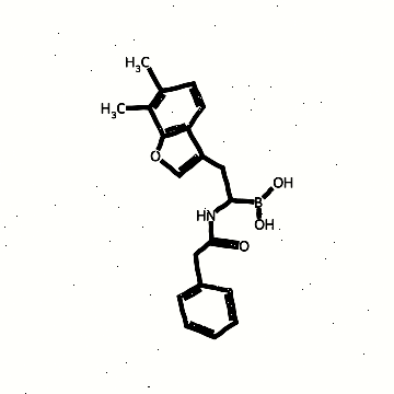 Cc1ccc2c(CC(NC(=O)Cc3ccccc3)B(O)O)coc2c1C